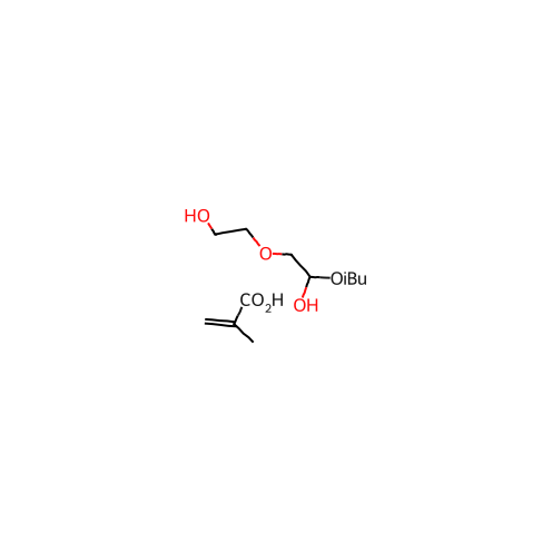 C=C(C)C(=O)O.CC(C)COC(O)COCCO